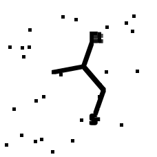 CCC(C)C[S]